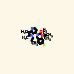 CCCn1c(C)c(C)c2nccc(N(Cc3ccc(F)cc3)C(=O)OC(C)(C)C)c21